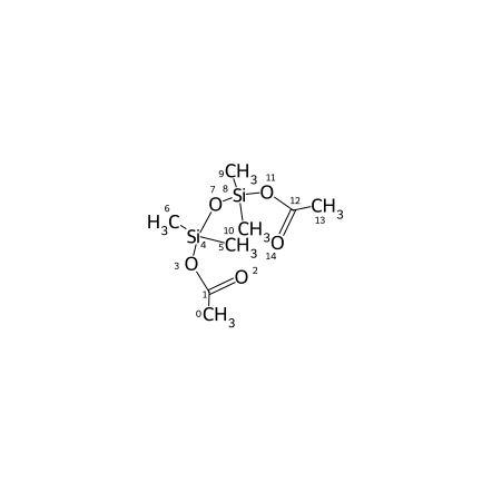 CC(=O)O[Si](C)(C)O[Si](C)(C)OC(C)=O